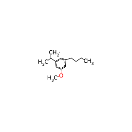 [CH2]C(C)c1cc(CCCC)cc(OC)c1